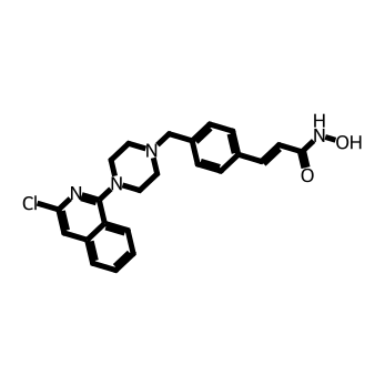 O=C(/C=C/c1ccc(CN2CCN(c3nc(Cl)cc4ccccc34)CC2)cc1)NO